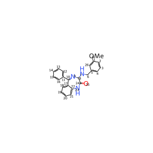 COc1cccc(CNC2N=C(c3ccccc3)c3ccccc3NC2=O)c1